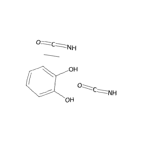 CC.N=C=O.N=C=O.Oc1ccccc1O